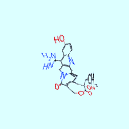 CC[C@@]1(O)C(=O)OCc2c1cc1n(c2=O)Cc2c-1nc1ccc(O)cc1c2C(=N)N